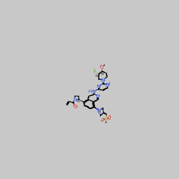 C=CC(=O)N1CC[C@H]1c1ccc(N2CC(CS(C)(=O)=O)C2)c2cnc(Nc3ccnc(N4CC[C@@H](OC)[C@@H](F)C4)n3)cc12